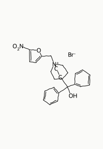 O=[N+]([O-])c1ccc(C[N+]23CCC(C(O)(c4ccccc4)c4ccccc4)(CC2)CC3)o1.[Br-]